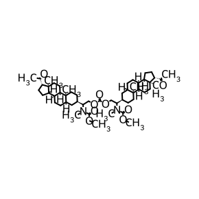 COC(=O)N(C)C(COC(=O)OCC([C@@H]1CC[C@@]2(C)[C@@H](CC[C@@H]3[C@@H]2CC[C@]2(C)[C@@H](C(C)=O)CC[C@@H]32)C1)N(C)C(=O)OC)[C@@H]1CC[C@@]2(C)[C@@H](CC[C@@H]3[C@@H]2CC[C@]2(C)[C@@H](C(C)=O)CC[C@@H]32)C1